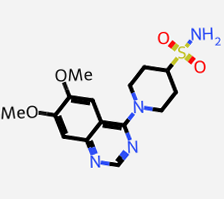 COc1cc2ncnc(N3CCC(S(N)(=O)=O)CC3)c2cc1OC